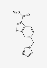 COC(=O)c1csc2cc(Cn3ccnc3)ccc12